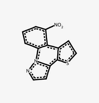 O=[N+]([O-])c1cccc2c1c1ccsc1c1ccnn12